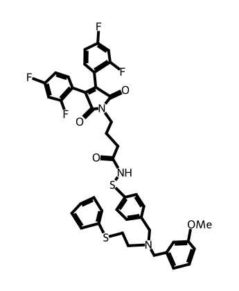 COc1cccc(CN(CCSc2ccccc2)Cc2ccc(SNC(=O)CCCN3C(=O)C(c4ccc(F)cc4F)=C(c4ccc(F)cc4F)C3=O)cc2)c1